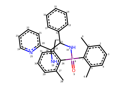 Cc1cccc(C)c1P(=O)(NC(c1ccccc1)C(N)c1ccccn1)c1c(C)cccc1C